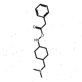 CN(C)CC1CCC(NOC(=O)Cc2ccccc2)CC1